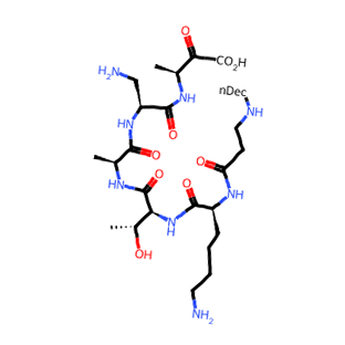 CCCCCCCCCCNCCC(=O)N[C@@H](CCCCN)C(=O)N[C@H](C(=O)N[C@@H](C)C(=O)N[C@@H](CN)C(=O)N[C@@H](C)C(=O)C(=O)O)[C@@H](C)O